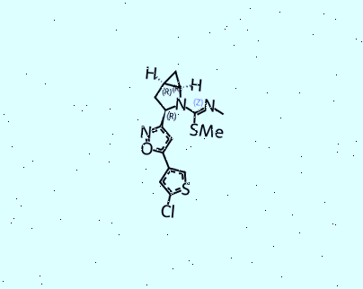 C/N=C(\SC)N1[C@@H](c2cc(-c3csc(Cl)c3)on2)C[C@H]2C[C@H]21